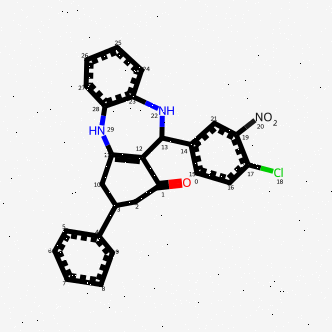 O=C1CC(c2ccccc2)CC2=C1C(c1ccc(Cl)c([N+](=O)[O-])c1)Nc1ccccc1N2